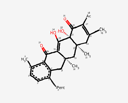 CCCC(C)c1ccc(C)c2c1C[C@]1(C)C[C@]3(C)CC(C)=C(C(C)=O)C(=O)[C@]3(O)C(O)=C1C2=O